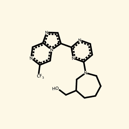 OCC1CCCCN(c2ccnc(-c3cnc4cnc(C(F)(F)F)cn34)n2)C1